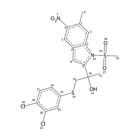 Cc1cc2c(cc1[N+](=O)[O-])cc(C(C)(O)CSc1ccc(Cl)c(Cl)c1)n2S(C)(=O)=O